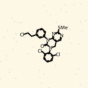 CSc1ncc2c(n1)N(c1cccc(CCCl)c1)C(=O)N(c1c(Cl)cccc1Cl)C2